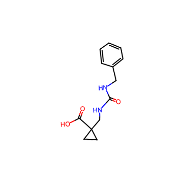 O=C(NCc1ccccc1)NCC1(C(=O)O)CC1